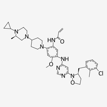 C=CC(=O)Nc1cc(Nc2cc(N3OCC[C@@H]3Cc3cccc(Cl)c3C)ncn2)c(OC)cc1N1CCC(N2CCN(C3CC3)[C@H](C)C2)CC1